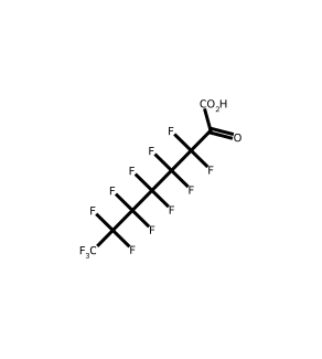 O=C(O)C(=O)C(F)(F)C(F)(F)C(F)(F)C(F)(F)C(F)(F)C(F)(F)F